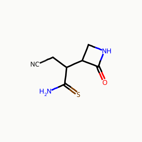 N#CCC(C(N)=S)C1CNC1=O